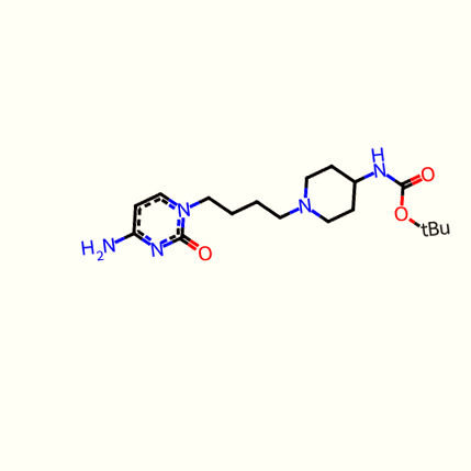 CC(C)(C)OC(=O)NC1CCN(CCCCn2ccc(N)nc2=O)CC1